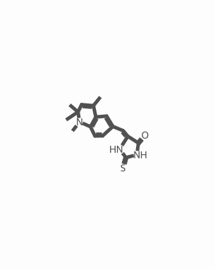 CC1=CC(C)(C)N(C)c2ccc(/C=C3\NC(=S)NC3=O)cc21